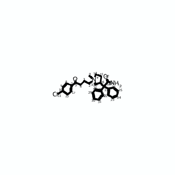 C[N+]1(CCCC(=O)c2ccc(Cl)cc2)CCC(C(C(N)=O)(c2ccccc2)c2ccccc2)C1